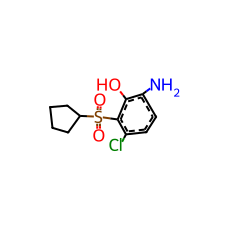 Nc1ccc(Cl)c(S(=O)(=O)C2CCCC2)c1O